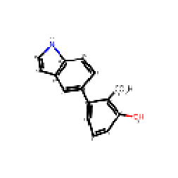 O=C(O)c1c(O)cccc1-c1ccc2c(c1)C=C[N]2